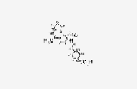 C/C(=C\C=C/[C@H]1CCC(=O)N1CCc1ccc(C(=O)O)cc1)CC1CCCC1